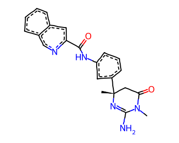 CN1C(=O)C[C@@](C)(c2cccc(NC(=O)c3cc4ccccc4cn3)c2)N=C1N